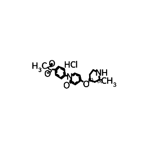 C[C@H]1C[C@@H](Oc2ccn(-c3ccc(S(C)(=O)=O)cc3)c(=O)c2)CCN1.Cl